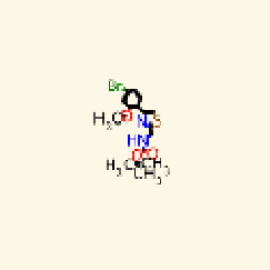 COc1cc(Br)ccc1-c1csc(CNC(=O)OC(C)(C)C)n1